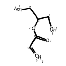 C=CC(=O)OC(CO)COC(C)=O